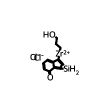 O=C1C=CC=C2[C]([Zr+2][CH2]CCO)=C3[SiH2]C3=C12.[Cl-].[Cl-]